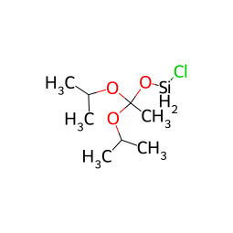 CC(C)OC(C)(O[SiH2]Cl)OC(C)C